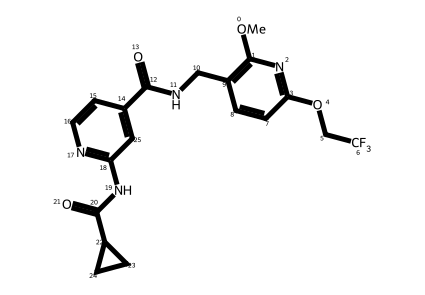 COc1nc(OCC(F)(F)F)ccc1CNC(=O)c1ccnc(NC(=O)C2CC2)c1